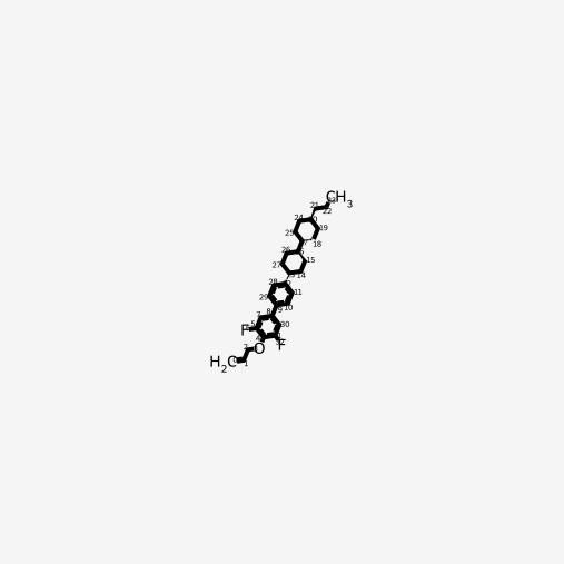 C=CCOc1c(F)cc(-c2ccc([C@H]3CC[C@H]([C@H]4CC[C@H](CCC)CC4)CC3)cc2)cc1F